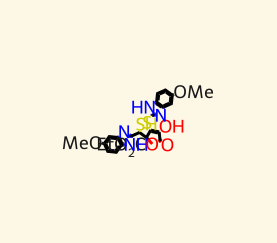 CCOC(=O)C1(C(S)c2nc3cc(OC)ccc3[nH]2)OC(=O)C(O)=C1Sc1nc2cc(OC)ccc2[nH]1